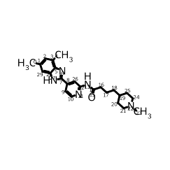 Cc1cc(C)c2nc(-c3ccnc(NC(=O)CCCC4CCN(C)CC4)c3)[nH]c2c1